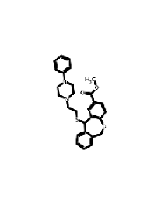 COC(=O)c1ccc2c(c1)C(SCCN1CCN(c3ccccc3)CC1)c1ccccc1CO2